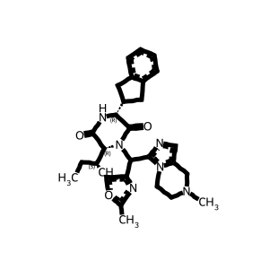 CC[C@H](C)[C@@H]1C(=O)N[C@H](C2Cc3ccccc3C2)C(=O)N1C(c1coc(C)n1)c1ncc2n1CCN(C)C2